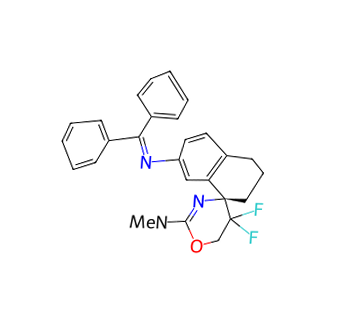 CNC1=N[C@@]2(CCCc3ccc(N=C(c4ccccc4)c4ccccc4)cc32)C(F)(F)CO1